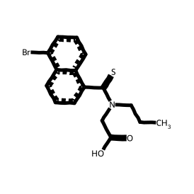 CCCN(CC(=O)O)C(=S)c1cccc2c(Br)cccc12